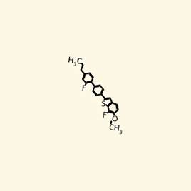 CCCc1ccc(-c2ccc(-c3cc4ccc(OCC)c(F)c4s3)cc2)c(F)c1